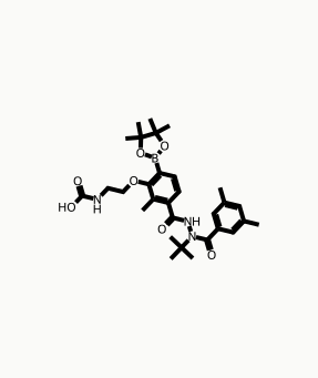 Cc1cc(C)cc(C(=O)N(NC(=O)c2ccc(B3OC(C)(C)C(C)(C)O3)c(OCCNC(=O)O)c2C)C(C)(C)C)c1